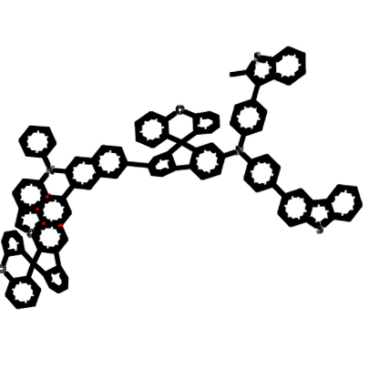 Cc1sc2ccccc2c1-c1ccc(N(c2ccc(-c3ccc4sc5ccccc5c4c3)cc2)c2ccc3c(c2)C2(c4ccccc4Oc4ccccc42)c2cc(-c4ccc5cc(N(c6ccccc6)c6cccc(-c7ccc8c(c7)C7(c9ccccc9Oc9ccccc97)c7ccccc7-8)c6)c(-c6ccc7occc7c6)cc5c4)ccc2-3)cc1